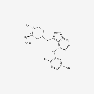 N#Cc1ccc(F)c(Nc2ncnn3ccc(CN4CC[C@@H](N)[C@H](NC(=O)O)C4)c23)c1